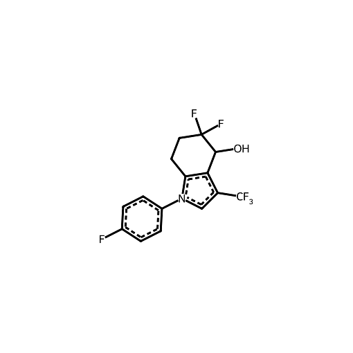 OC1c2c(C(F)(F)F)cn(-c3ccc(F)cc3)c2CCC1(F)F